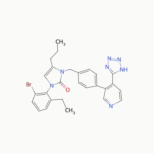 CCCc1cn(-c2c(Br)cccc2CC)c(=O)n1Cc1ccc(-c2cnccc2-c2nnn[nH]2)cc1